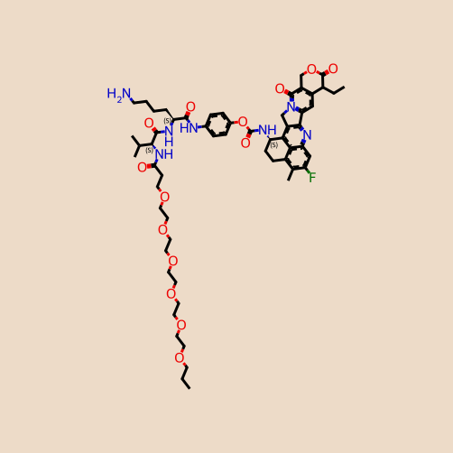 CCCOCCOCCOCCOCCOCCOCCC(=O)N[C@H](C(=O)N[C@@H](CCCCN)C(=O)Nc1ccc(OC(=O)N[C@H]2CCc3c(C)c(F)cc4nc5c(c2c34)Cn2c-5cc3c(c2=O)COC(=O)C3CC)cc1)C(C)C